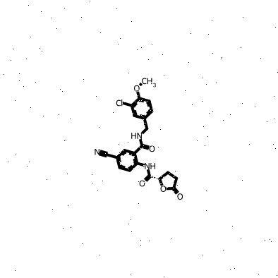 COc1ccc(CNC(=O)c2cc(C#N)ccc2NC(=O)[C@@H]2CCC(=O)O2)cc1Cl